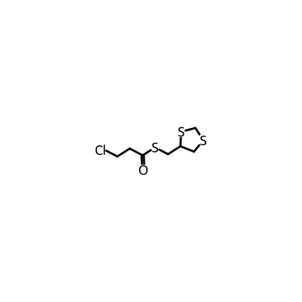 O=C(CCCl)SCC1CSCS1